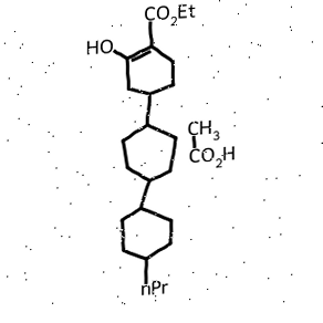 CC(=O)O.CCCC1CCC(C2CCC(C3CCC(C(=O)OCC)=C(O)C3)CC2)CC1